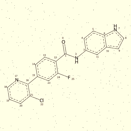 O=C(Nc1ccc2[nH]ccc2c1)c1ccc(-c2ncccc2Cl)cc1F